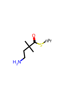 CCCSC(=O)C(C)(C)CCN